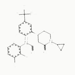 O=C(Nc1cccc(Cl)c1F)[C@H]1C(=O)N(C2CC2)CC[C@@H]1c1cccc(C(F)(F)F)c1